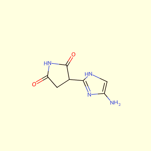 Nc1c[nH]c(C2CC(=O)NC2=O)n1